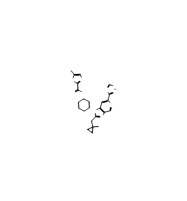 CC1(Cc2nc3cnc(-c4nc[nH]n4)cc3n2[C@@H]2CCC[C@H](NC(=O)c3ncc(Cl)s3)C2)CC1